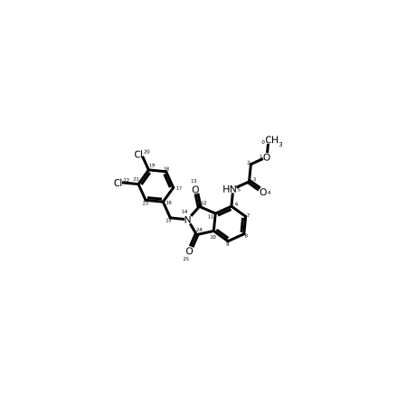 COCC(=O)Nc1cccc2c1C(=O)N(Cc1ccc(Cl)c(Cl)c1)C2=O